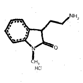 CN1C(=O)C(CCN)c2ccccc21.Cl